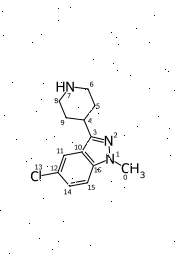 Cn1nc(C2CCNCC2)c2cc(Cl)ccc21